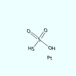 O=S(=O)(O)S.[Pt]